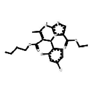 CCCCOC(=O)C1=C(C)Nc2ncc(C(=O)OCC)n2C1c1ccc(Cl)cc1Cl